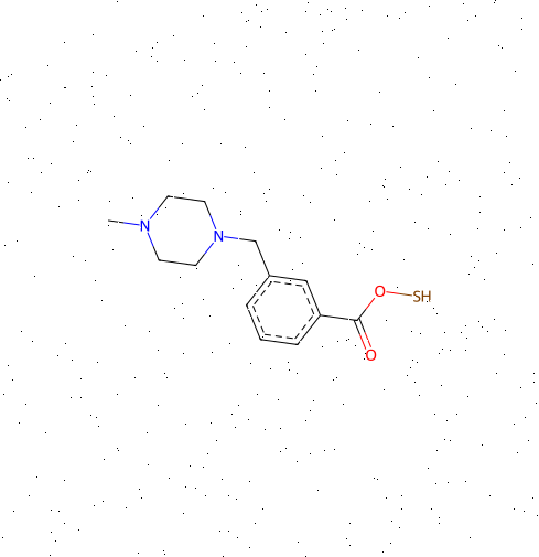 CN1CCN(Cc2cccc(C(=O)OS)c2)CC1